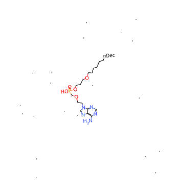 CCCCCCCCCCCCCCCCOCCCOP(=O)(O)COCCn1cnc2c(N)ncnc21